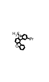 CC(C)c1ccc2c(c1)c1c3c(ccc1n2C)oc1ccccc13